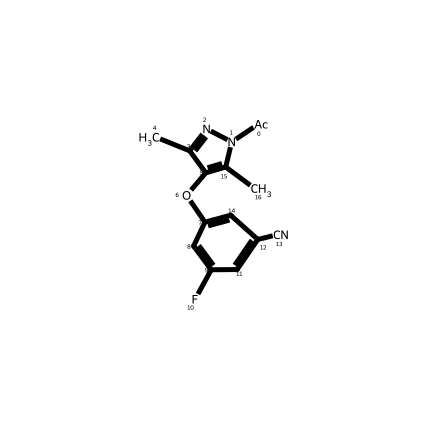 CC(=O)n1nc(C)c(Oc2cc(F)cc(C#N)c2)c1C